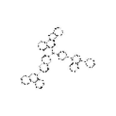 c1ccc(-c2ccc(-c3ccc(N(c4ccc5cc(-c6cc7ccccc7c7ccccc67)ccc5c4)c4cc5c6ccccc6oc5c5ccccc45)cc3)c3ccccc23)cc1